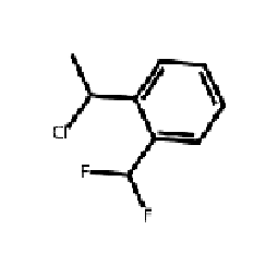 CC(Cl)c1ccccc1C(F)F